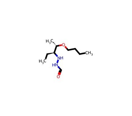 CCCCO[C@@H](C)[C@H](CC)NNC=O